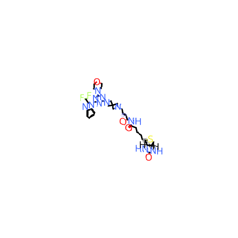 O=C(/C=C/CN1CC2(C1)CN(c1nc(N3CCOCC3)nc(-n3c(C(F)F)nc4ccccc43)n1)C2)NC(=O)CCCC[C@@H]1SC[C@@H]2NC(=O)N[C@@H]21